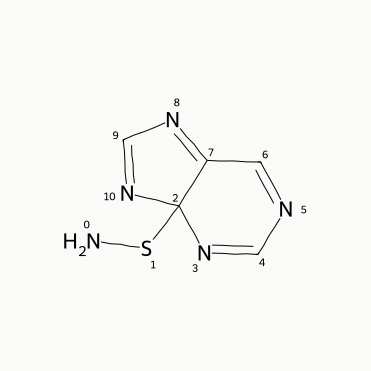 NSC12N=CN=CC1=NC=N2